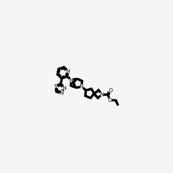 CCOC(=O)N1CC2(CCC(N3CC4CC3CN4c3ncccc3-c3nncs3)C2)C1